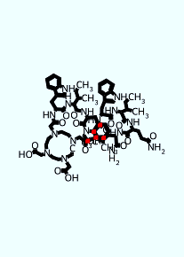 CCC(C)C(NC(=O)C(Cc1c[nH]c2ccccc12)NC(=O)C1CCCN1C(=O)C(Cc1ccccc1)NC(=O)C(NC(=O)C(Cc1c[nH]c2ccccc12)NC(=O)CN1CCN(CC(=O)O)CCN(CC(=O)O)CCN(CC(=O)O)CC1)C(C)CC)C(=O)NC(CCC(N)=O)C(=O)NC(CC(C)C)C(N)=O